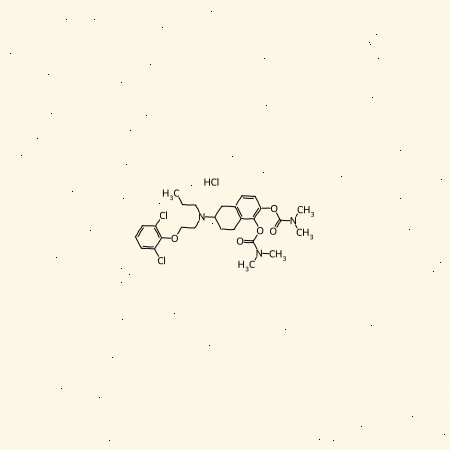 CCCN(CCOc1c(Cl)cccc1Cl)C1CCc2c(ccc(OC(=O)N(C)C)c2OC(=O)N(C)C)C1.Cl